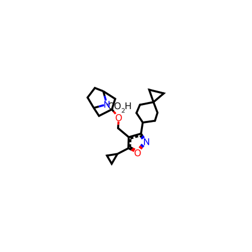 O=C(O)N1C2CCC1CC(OCc1c(C3CCC4(CC3)CC4)noc1C1CC1)C2